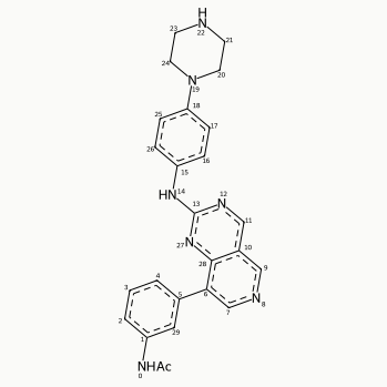 CC(=O)Nc1cccc(-c2cncc3cnc(Nc4ccc(N5CCNCC5)cc4)nc23)c1